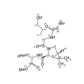 CCCCCC(NC(=O)[C@@H]1C2[C@H](CN1C(=O)[C@H](CCCO)NC(=O)OC(C)(C)C)C2(C)C)C(=O)OC